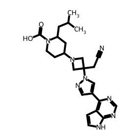 CC(C)CC1CC(N2CC(CC#N)(n3cc(-c4ncnc5[nH]ccc45)cn3)C2)CCN1C(=O)O